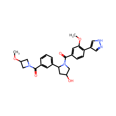 COc1cc(C(=O)N2CC(O)CC2c2cccc(C(=O)N3CC(OC)C3)c2)ccc1-c1cn[nH]c1